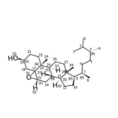 CC(C)[C@H](C)CC[C@@H](C)[C@H]1CC[C@H]2[C@@H]3C[C@@H]4OC45C[C@@H](O)CC[C@]5(C)[C@H]3CC[C@]12C